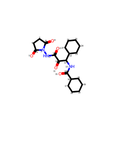 O=C(NN1C(=O)CCC1=O)C(=O)C(NC(=O)C1CCCCC1)C1CCCCC1